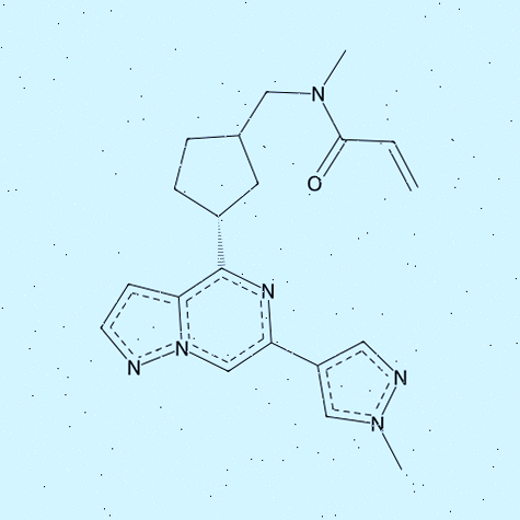 C=CC(=O)N(C)CC1CC[C@@H](c2nc(-c3cnn(C)c3)cn3nccc23)C1